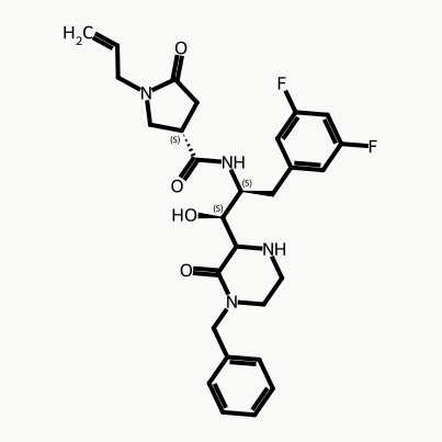 C=CCN1C[C@@H](C(=O)N[C@@H](Cc2cc(F)cc(F)c2)[C@H](O)C2NCCN(Cc3ccccc3)C2=O)CC1=O